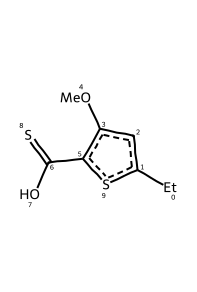 CCc1cc(OC)c(C(O)=S)s1